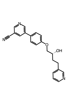 N#Cc1cncc(-c2ccc(OC[C@H](O)CCc3cccnc3)cc2)c1